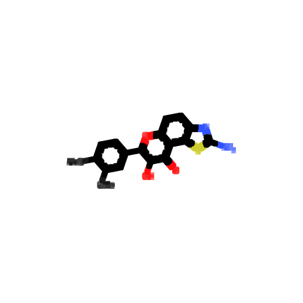 COc1ccc(-c2oc3ccc4nc(N)sc4c3c(=O)c2O)cc1OC